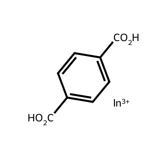 O=C(O)c1ccc(C(=O)O)cc1.[In+3]